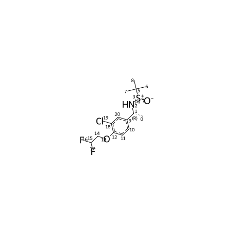 C[C@@H](N[S@+]([O-])C(C)(C)C)c1ccc(OCC(F)F)c(Cl)c1